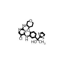 CC(O)(c1ccc(OC2CCOCC2)c(Nc2nc(N)ncc2Cl)c1)c1nccs1